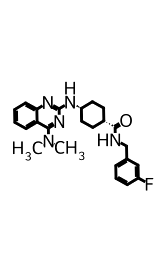 CN(C)c1nc(N[C@H]2CC[C@@H](C(=O)NCc3cccc(F)c3)CC2)nc2ccccc12